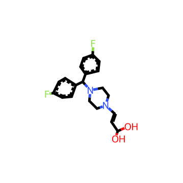 OC(O)C=CN1CCN(C(c2ccc(F)cc2)c2ccc(F)cc2)CC1